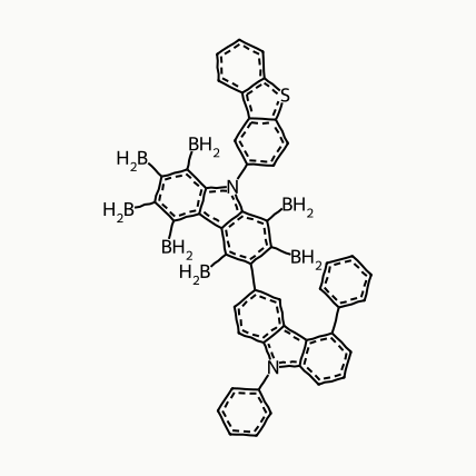 Bc1c(B)c(B)c2c(c1B)c1c(B)c(-c3ccc4c(c3)c3c(-c5ccccc5)cccc3n4-c3ccccc3)c(B)c(B)c1n2-c1ccc2sc3ccccc3c2c1